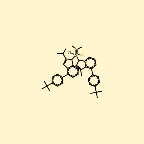 CC1=C(C)[CH]([Zr]([Cl])([Cl])([CH]2C(C(C)C)=Cc3c(-c4ccc(C(C)(C)C)cc4)cccc32)[SiH](C)C)c2cccc(-c3ccc(C(C)(C)C)cc3)c21